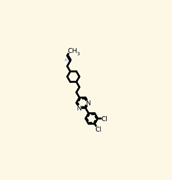 C/C=C/CC1CCC(CCc2cnc(-c3ccc(Cl)c(Cl)c3)nc2)CC1